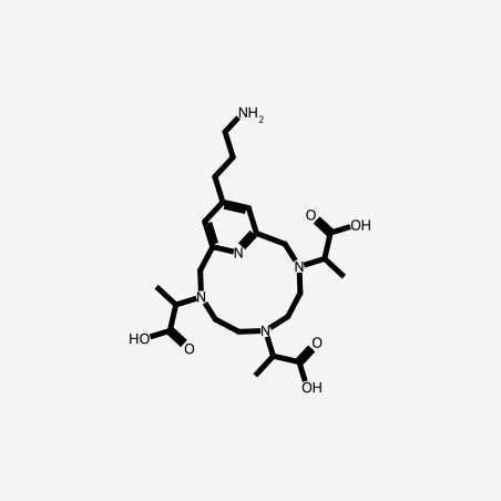 CC(C(=O)O)N1CCN(C(C)C(=O)O)Cc2cc(CCCN)cc(n2)CN(C(C)C(=O)O)CC1